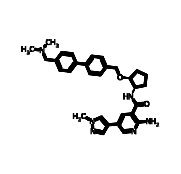 CN(C)Cc1ccc(-c2ccc(CO[C@H]3CCC[C@@H]3NC(=O)c3cc(-c4cnn(C)c4)cnc3N)cc2)cc1